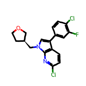 Fc1cc(-c2cn(C[C@H]3CCOC3)c3nc(Cl)ccc23)ccc1Cl